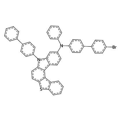 Brc1ccc(-c2ccc(N(c3ccccc3)c3ccc4c5c6c(ccc5n(-c5ccc(-c7ccccc7)cc5)c4c3)sc3ccccc36)cc2)cc1